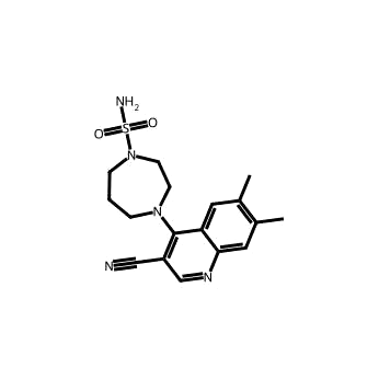 Cc1cc2ncc(C#N)c(N3CCCN(S(N)(=O)=O)CC3)c2cc1C